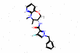 CC1[C@@H](NC(=O)c2nn(Cc3ccccc3)cc2F)[C@@H](C)Oc2cccnc2N1C